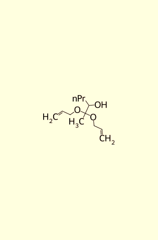 C=CCOC(C)(OCC=C)C(O)CCC